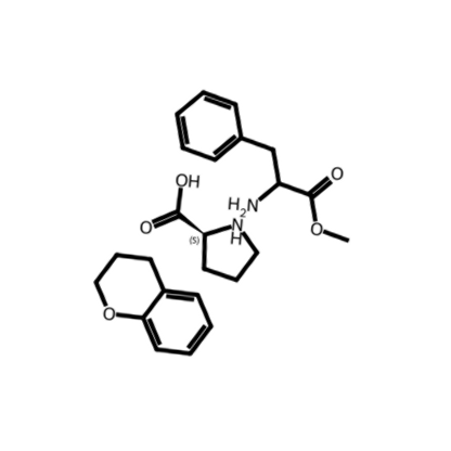 COC(=O)C(N)Cc1ccccc1.O=C(O)[C@@H]1CCCN1.c1ccc2c(c1)CCCO2